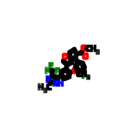 COC(=O)C1CCC2(C=C(c3cc(-c4[nH]c(C)nc4C(F)(F)F)ccc3OC)CO2)C1c1ccc(F)cc1